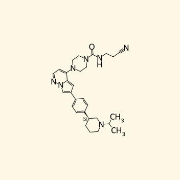 CC(C)N1CCC[C@@H](c2ccc(-c3cc4c(N5CCN(C(=O)NCCC#N)CC5)ccnn4c3)cc2)C1